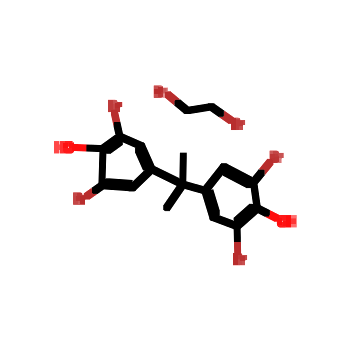 BrCCBr.CC(C)(c1cc(Br)c(O)c(Br)c1)c1cc(Br)c(O)c(Br)c1